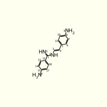 N=C(NC=Cc1ccc(N)cc1)c1ccc(N)cc1